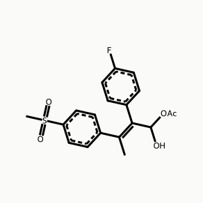 CC(=O)OC(O)C(=C(C)c1ccc(S(C)(=O)=O)cc1)c1ccc(F)cc1